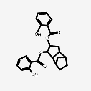 O=C(OC1CC2C3CCC(C3)C2C1OC(=O)c1ccccc1O)c1ccccc1O